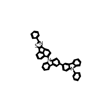 c1ccc(-c2nc3c(s2)-c2cccc4c(-n5c6ccccc6c6cc(-c7ccc8c(c7)c7ccccc7n8-c7ccccc7)ccc65)ccc-3c24)cc1